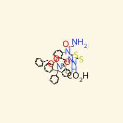 NCC(=O)N(c1n[nH]c(=S)s1)c1ccccc1C(=O)[C@H](CCC(=O)O)N(C(=O)OCc1ccccc1)C(c1ccccc1)(c1ccccc1)c1ccccc1